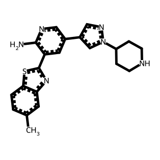 Cc1ccc2sc(-c3cc(-c4cnn(C5CCNCC5)c4)cnc3N)nc2c1